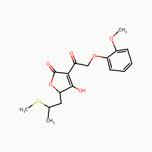 COc1ccccc1OCC(=O)C1=C(O)C(CC(C)SC)OC1=O